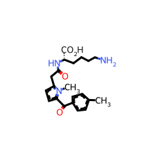 Cc1ccc(C(=O)c2ccc(CC(=O)N[C@@H](CCCCN)C(=O)O)n2C)cc1